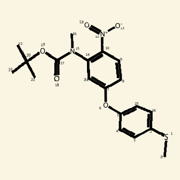 CSc1ccc(Oc2ccc([N+](=O)[O-])c(N(C)C(=O)OC(C)(C)C)c2)cc1